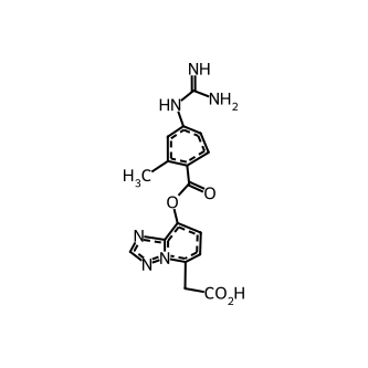 Cc1cc(NC(=N)N)ccc1C(=O)Oc1ccc(CC(=O)O)n2ncnc12